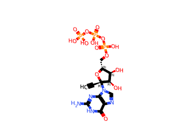 C#C[C@@]1(n2cnc3c(=O)[nH]c(N)nc32)O[C@H](COP(=O)(O)OP(=O)(O)OP(=O)(O)O)[C@@H](O)[C@H]1O